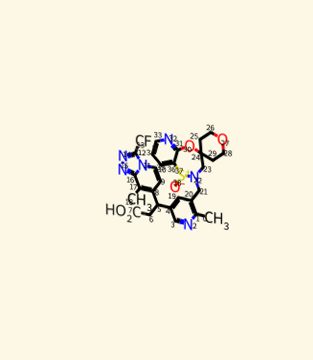 Cc1ncc(C(CC(=O)O)c2ccn3c(C(F)(F)F)nnc3c2C)cc1CN1CC2(CCOCC2)Oc2ncccc2[S+]1[O-]